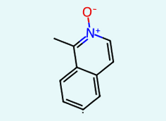 Cc1c2cc[c]cc2cc[n+]1[O-]